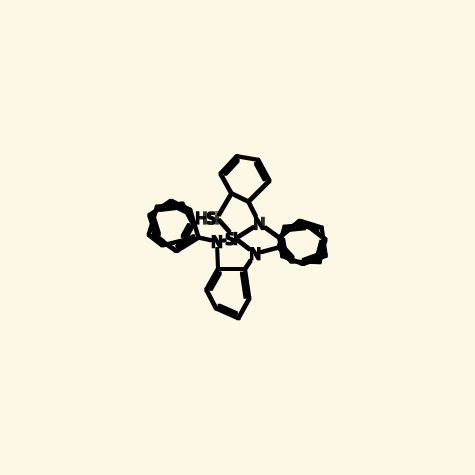 C1=CC2C(C=C1)[SiH](c1ccccc1)[Si]1(N(c3ccccc3)c3ccccc3N1c1ccccc1)N2c1ccccc1